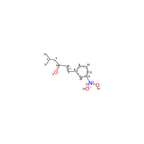 CC(C)CC(=O)/C=C/c1cccc([N+](=O)[O-])c1